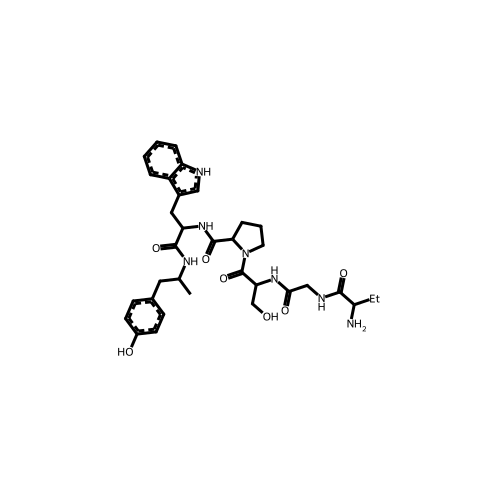 CCC(N)C(=O)NCC(=O)NC(CO)C(=O)N1CCCC1C(=O)NC(Cc1c[nH]c2ccccc12)C(=O)NC(C)Cc1ccc(O)cc1